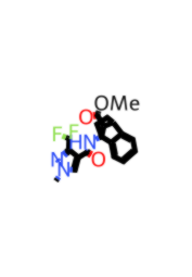 COC(=O)C1C2CCC1(NC(=O)c1cn(C)nc1C(F)F)c1ccccc12